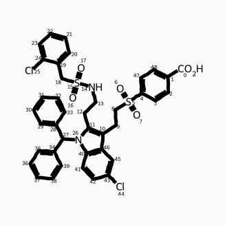 O=C(O)c1ccc(S(=O)(=O)CCc2c(CCNS(=O)(=O)Cc3ccccc3Cl)n(C(c3ccccc3)c3ccccc3)c3ccc(Cl)cc23)cc1